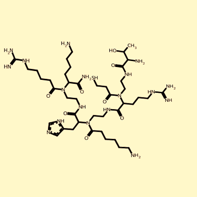 CC(O)C(N)C(=O)NCCN(C(=O)CCS)C(CCCNC(=N)N)C(=O)NCCN(C(=O)CCCCCN)C(Cc1cnc[nH]1)C(=O)NCCN(C(=O)CCCCNC(=N)N)C(CCCCN)C(N)=O